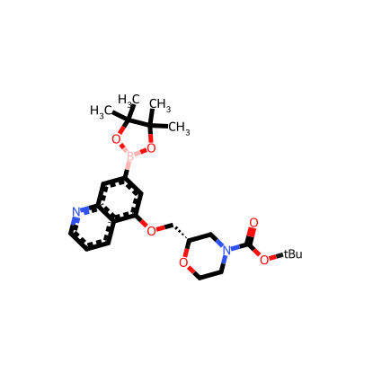 CC(C)(C)OC(=O)N1CCO[C@H](COc2cc(B3OC(C)(C)C(C)(C)O3)cc3ncccc23)C1